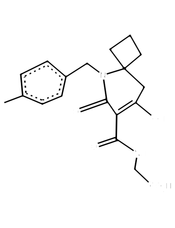 Cc1ccc(CN2C(=O)C(C(=O)NCC(=O)O)=C(O)CC23CCC3)cc1